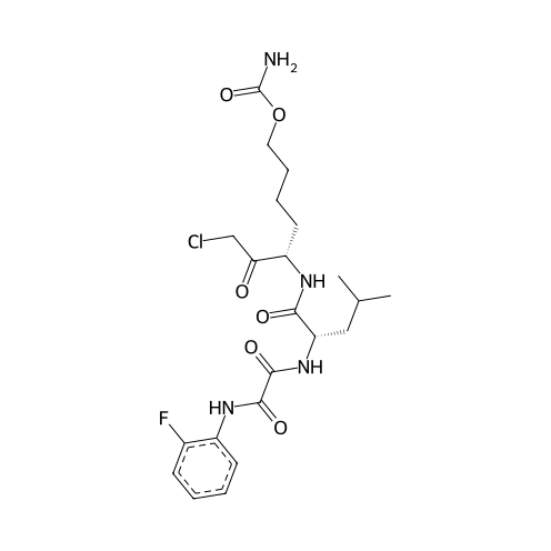 CC(C)C[C@H](NC(=O)C(=O)Nc1ccccc1F)C(=O)N[C@@H](CCCCOC(N)=O)C(=O)CCl